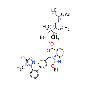 C=C/C(=C\C=C(/C=C)C(C)(CC)CC(C)(CC)COC(=O)c1cccc2nc(OCC)n(Cc3ccc(-c4ccccc4-c4noc(=O)n4C)cc3)c12)OC(C)=O